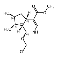 COC(=O)C1=CN[C@@H](OCCl)[C@@H]2[C@@H](C)[C@@H](O)C[C@H]12